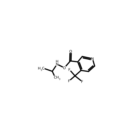 CC(C)NOC(=O)c1cnccc1C(F)(F)F